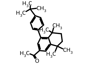 CC(=O)c1cc(-c2ccc(C(C)(C)C)cc2)c2c(c1)C(C)(C)CCC2(C)C